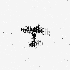 CCN(C(=O)c1cc(F)ccc1Oc1nnc(OC)nc1N1CCC2(C1)CN(C(CCCN)C(C)C)C2)C(C)C.O=CO